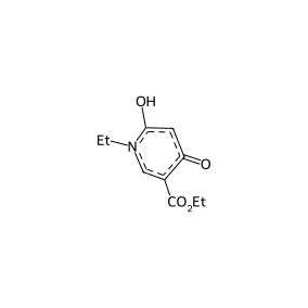 CCOC(=O)c1cn(CC)c(O)cc1=O